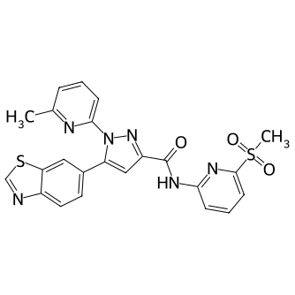 Cc1cccc(-n2nc(C(=O)Nc3cccc(S(C)(=O)=O)n3)cc2-c2ccc3ncsc3c2)n1